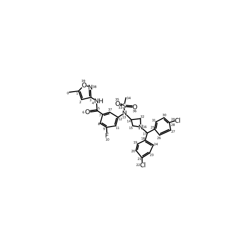 Cc1cc(NC(=O)c2cc(F)cc(N(C3CN(C(c4ccc(Cl)cc4)c4ccc(Cl)cc4)C3)S(C)(=O)=O)c2)no1